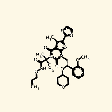 C=CCONC(=O)C(C)(C)n1c(=O)c2c(C)c(-c3ncco3)sc2n(C[C@H](OC2CCOCC2)c2ccccc2OC)c1=O